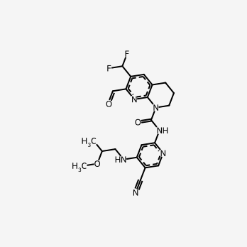 COC(C)CNc1cc(NC(=O)N2CCCc3cc(C(F)F)c(C=O)nc32)ncc1C#N